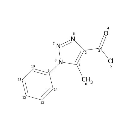 Cc1c(C(=O)Cl)nnn1-c1ccccc1